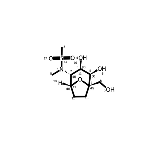 CN([C@@H]1[C@@H](O)[C@@H](O)[C@]2(CO)CC[C@H]1O2)S(C)(=O)=O